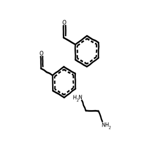 NCCN.O=Cc1ccccc1.O=Cc1ccccc1